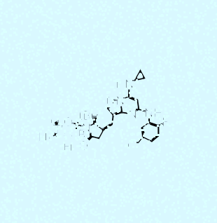 CC(C)(C)C(OP(=O)(O)O)(N1C(=O)CC(=Cc2cnn3c(NC4CC4)cc(Nc4cc(Cl)ccc4F)nc23)C1=O)C(C)(C)C